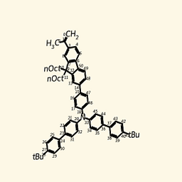 C=C(C)c1ccc2c(c1)C(CCCCCCCC)(CCCCCCCC)c1cc(-c3ccc(N(c4ccc(-c5ccc(C(C)(C)C)cc5)cc4)c4ccc(-c5ccc(C(C)(C)C)cc5)cc4)cc3)ccc1-2